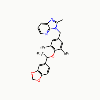 CCCc1cc(Cn2c(C)nc3cccnc32)cc(CCC)c1OC(C(=O)O)c1ccc2c(c1)OCO2